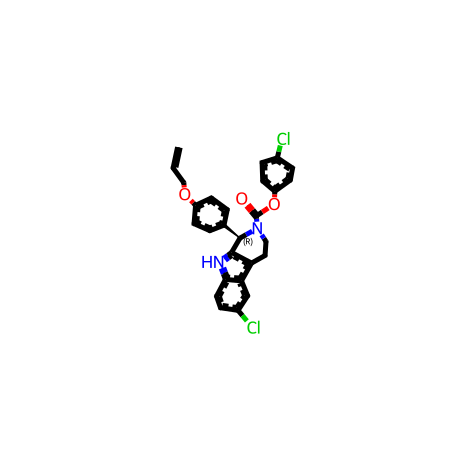 C=CCOc1ccc([C@@H]2c3[nH]c4ccc(Cl)cc4c3CCN2C(=O)Oc2ccc(Cl)cc2)cc1